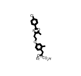 CCO[C@@H](Cc1ccc(OCCc2nc(-c3ccc(Cl)cc3)oc2C)cc1C)C(=O)O